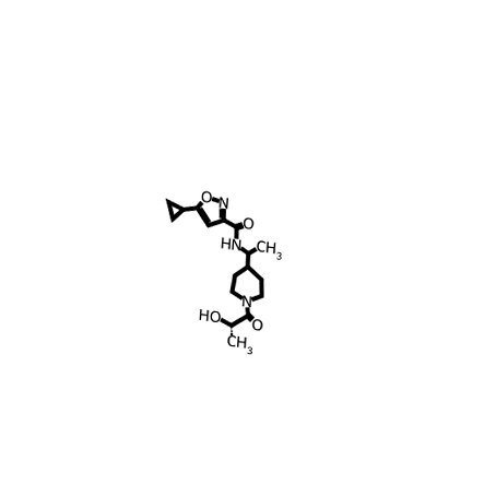 CC(NC(=O)c1cc(C2CC2)on1)C1CCN(C(=O)[C@H](C)O)CC1